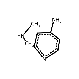 CNC.Nc1ccncc1